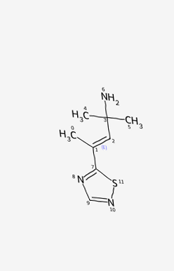 C/C(=C\C(C)(C)N)c1ncns1